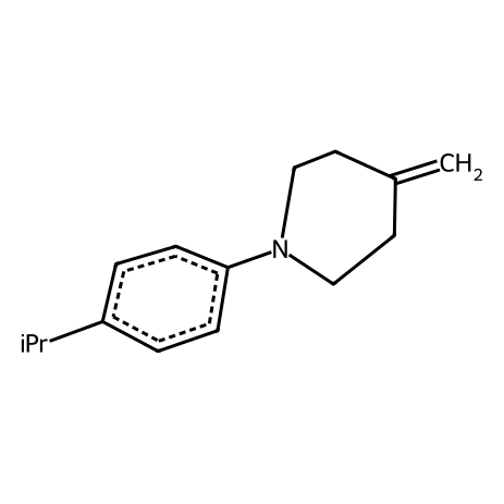 C=C1CCN(c2ccc(C(C)C)cc2)CC1